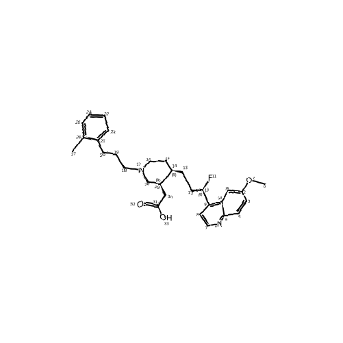 COc1ccc2nccc([C@H](F)CC[C@@H]3CCN(CCCc4ccccc4C)C[C@@H]3CC(=O)O)c2c1